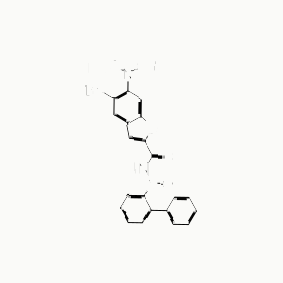 CN(C)c1cc2oc(C(=O)N[S+]([O-])c3ccccc3-c3ccccc3)cc2cc1Br